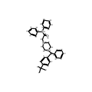 CC(C)(C)c1ccc(C(c2ccccc2)N2CCN(CC(=O)N(c3ccccc3)c3ccccc3)CC2)cc1